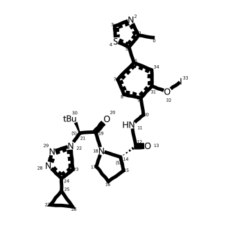 Cc1ncsc1-c1ccc(CNC(=O)[C@@H]2CCCN2C(=O)[C@@H](n2cc(C3CC3)nn2)C(C)(C)C)c(OI)c1